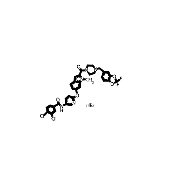 Br.Cn1c(C(=O)N2CCN(Cc3ccc4c(c3)OC(F)(F)O4)CC2)cc2ccc(Oc3ccc(NC(=O)c4ccc(Cl)c(Cl)c4)cn3)cc21